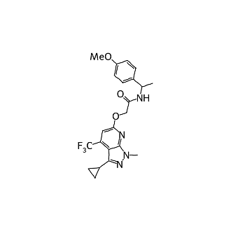 COc1ccc(C(C)NC(=O)COc2cc(C(F)(F)F)c3c(C4CC4)nn(C)c3n2)cc1